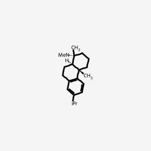 CN[C@]1(C)CCC[C@]2(C)c3ccc(C(C)C)cc3CC[C@@H]12